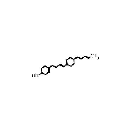 CC=CCCC1CCC(C=CCCC2CCC(CCC)CC2)CC1